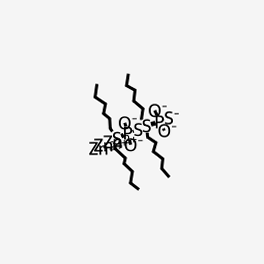 CCCCCCS(CCCCCC)=P([O-])([O-])[S-].CCCCCCS(CCCCCC)=P([O-])([O-])[S-].[Zn+2].[Zn+2].[Zn+2]